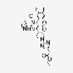 CCOC(=O)Cc1cnc(N2CCC(C3=C(C(=O)OC)C(c4ccc(F)c(F)c4Cl)N=C(c4nccs4)N3)CC2)nc1